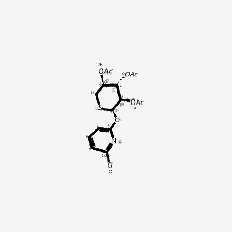 CC(=O)O[C@@H]1[C@@H](OC(C)=O)[C@@H](Oc2cccc(Cl)n2)SC[C@H]1OC(C)=O